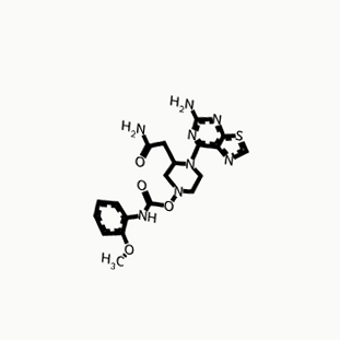 COc1ccccc1NC(=O)ON1CCN(c2nc(N)nc3scnc23)C(CC(N)=O)C1